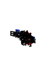 CCn1nnc2c(C)c([C@@H](c3ccc(C)c(CN4CC5(CCOCC5)Oc5ncccc5S4(=O)=O)c3)C(C)(C)C(=O)O)ccc21